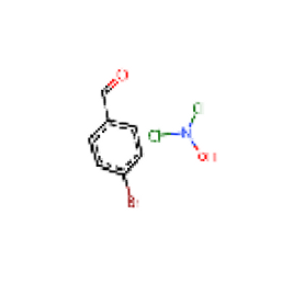 O=Cc1ccc(Br)cc1.ON(Cl)Cl